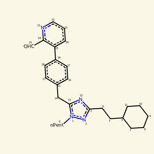 CCCCCn1nc(CCC2CCCCC2)nc1Cc1ccc(-c2cccnc2[C]=O)cc1